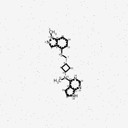 Cn1ncc2c(SC[C@H]3C[C@@H](N(C)c4ncnc5[nH]ccc45)C3)cccc21